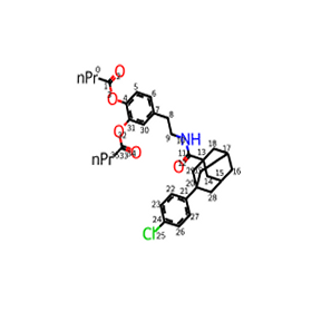 CCCC(=O)Oc1ccc(CCNC(=O)C23CC4CC(C2)CC(c2ccc(Cl)cc2)(C4)C3)cc1OC(=O)CCC